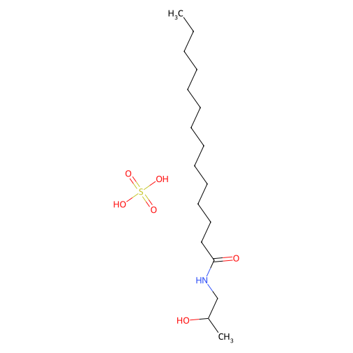 CCCCCCCCCCCCCC(=O)NCC(C)O.O=S(=O)(O)O